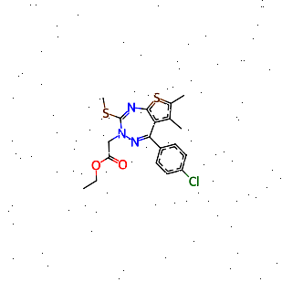 CCOC(=O)CN1N=C(c2ccc(Cl)cc2)c2c(sc(C)c2C)N=C1SC